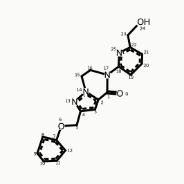 O=C1c2cc(COc3ccccc3)nn2CCN1c1cccc(CO)n1